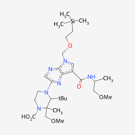 COCC(C)NC(=O)c1cn(COCC[Si](C)(C)C)c2ncc(N3CCN(C(=O)O)C(C)(COC)C3C(C)(C)C)nc12